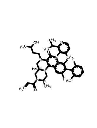 C=CC(=O)N1C[C@@H]2CN(CCC(C)O)c3c(c4cc(F)c(-c5c(O)cccc5F)c(F)c4n(-c4c(C)ccnc4C(C)C)c3=O)N2C[C@H]1C